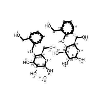 O.OCc1ccccc1O[C@H]1[C@H](O)[C@@H](O)[C@H](O)O[C@@H]1CO.OCc1ccccc1O[C@H]1[C@H](O)[C@@H](O)[C@H](O)O[C@@H]1CO